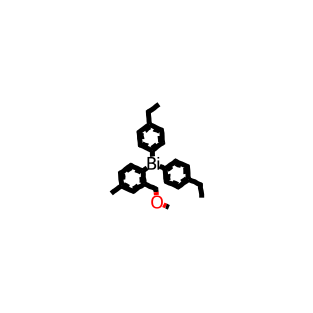 CCc1cc[c]([Bi]([c]2ccc(CC)cc2)[c]2ccc(C)cc2COC)cc1